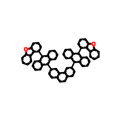 c1ccc2c(c1)oc1cccc(-c3c4ccccc4c(-c4ccc5ccc6ccc(-c7c8ccccc8c(-c8cccc9oc%10ccccc%10c89)c8ccccc78)cc6c5c4)c4ccccc34)c12